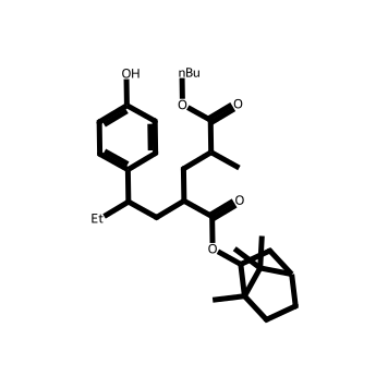 CCCCOC(=O)C(C)CC(CC(CC)c1ccc(O)cc1)C(=O)OC1CC2CCC1(C)C2(C)C